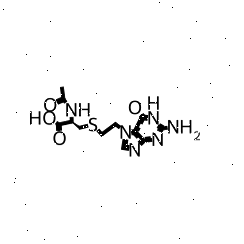 CC(=O)N[C@@H](CSCCn1cnc2nc(N)[nH]c(=O)c21)C(=O)O